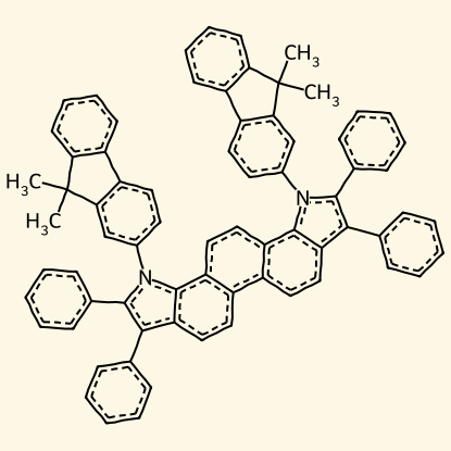 CC1(C)c2ccccc2-c2ccc(-n3c(-c4ccccc4)c(-c4ccccc4)c4ccc5c6ccc7c(-c8ccccc8)c(-c8ccccc8)n(-c8ccc9c(c8)C(C)(C)c8ccccc8-9)c7c6ccc5c43)cc21